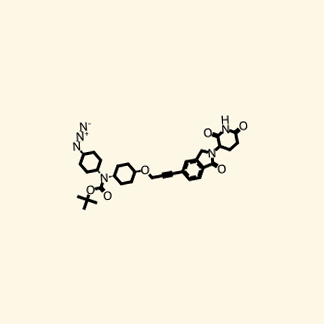 CC(C)(C)OC(=O)N([C@H]1CC[C@H](N=[N+]=[N-])CC1)[C@H]1CC[C@H](OCC#Cc2ccc3c(c2)CN(C2CCC(=O)NC2=O)C3=O)CC1